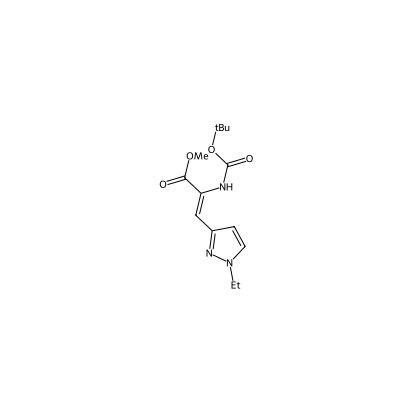 CCn1ccc(C=C(NC(=O)OC(C)(C)C)C(=O)OC)n1